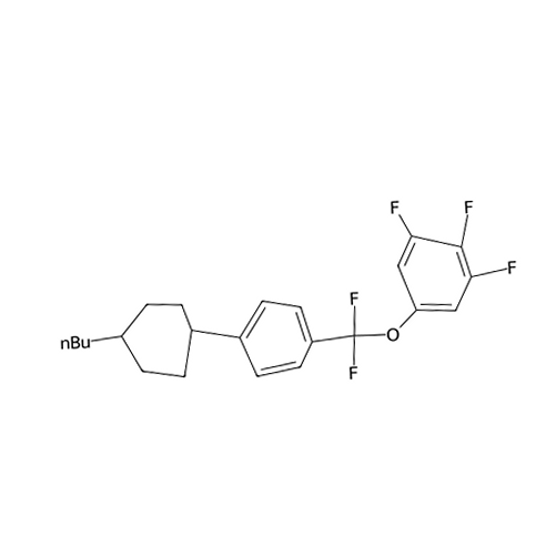 CCCCC1CCC(c2ccc(C(F)(F)Oc3cc(F)c(F)c(F)c3)cc2)CC1